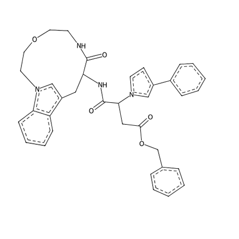 O=C(CC(C(=O)NC1Cc2cn(c3ccccc23)CCOCCNC1=O)n1ccc(-c2ccccc2)c1)OCc1ccccc1